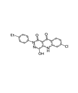 CCc1ccc(-n2nc(O)c3[nH]c4cc(Cl)ccc4c(=O)c3c2=O)cc1